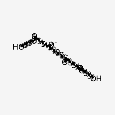 O=C(CSCSCC[S+]([O-])CSCSCSCSC(=O)CSCSCCOOCSCSCO)OCSCSCO